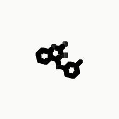 Cc1cccc(N=c2[nH]c(=O)oc3ccccc23)c1